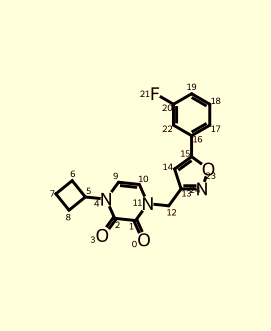 O=c1c(=O)n(C2CCC2)ccn1Cc1cc(-c2cccc(F)c2)on1